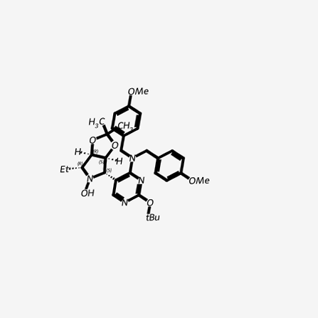 CC[C@@H]1[C@H]2OC(C)(C)O[C@H]2[C@H](c2cnc(OC(C)(C)C)nc2N(Cc2ccc(OC)cc2)Cc2ccc(OC)cc2)N1O